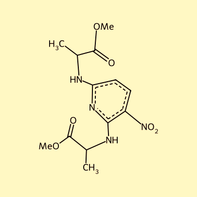 COC(=O)C(C)Nc1ccc([N+](=O)[O-])c(NC(C)C(=O)OC)n1